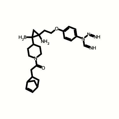 BC1(C2CCN(C(=O)CC3CC4C=CC3C4)CC2)CC1(N)CCOc1ccc(N(C=N)N=N)cc1